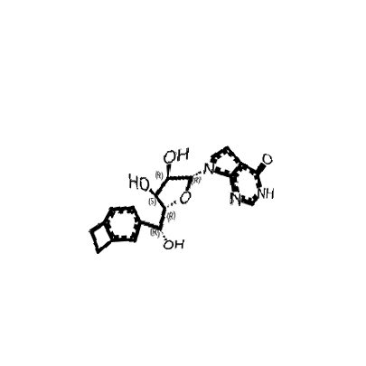 O=c1[nH]cnc2c1ccn2[C@@H]1O[C@H]([C@H](O)c2ccc3c(c2)CC3)[C@@H](O)[C@H]1O